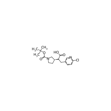 CC(C)(C)OC(=O)N1CC[C@H](C(Cc2ccc(Cl)nc2)C(=O)O)C1